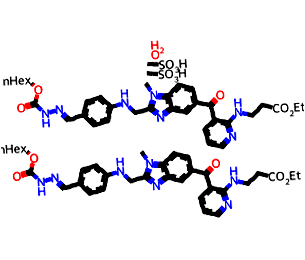 CCCCCCOC(=O)NN=Cc1ccc(NCc2nc3cc(C(=O)c4cccnc4NCCC(=O)OCC)ccc3n2C)cc1.CCCCCCOC(=O)NN=Cc1ccc(NCc2nc3cc(C(=O)c4cccnc4NCCC(=O)OCC)ccc3n2C)cc1.CS(=O)(=O)O.CS(=O)(=O)O.O